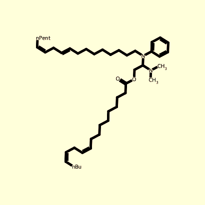 CCCC/C=C\C/C=C\CCCCCCCCC(=O)OCC(N(C)C)N(CCCCCCCC/C=C/C/C=C\CCCCC)c1ccccc1